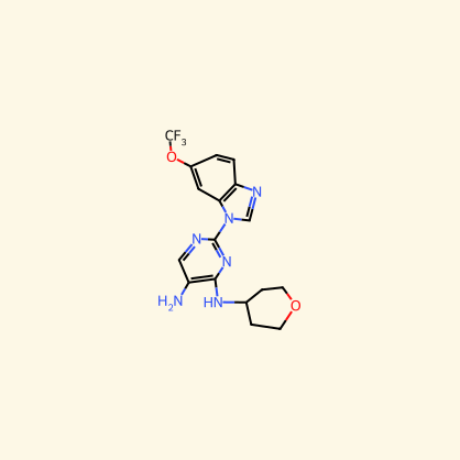 Nc1cnc(-n2cnc3ccc(OC(F)(F)F)cc32)nc1NC1CCOCC1